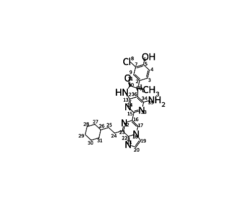 C[C@]1(c2ccc(O)c(Cl)c2)C(=O)Nc2nc(-c3cn4ccnc4c(CCC4CCCCC4)n3)nc(N)c21